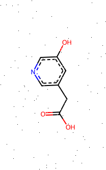 O=C(O)Cc1cncc(O)c1